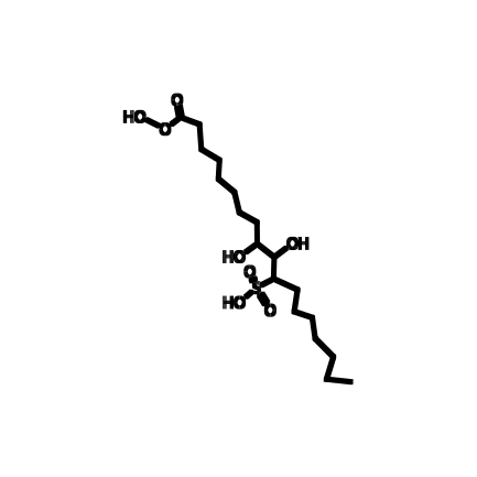 CCCCCCCC(C(O)C(O)CCCCCCCC(=O)OO)S(=O)(=O)O